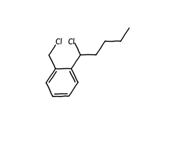 CCCCC(Cl)c1ccccc1CCl